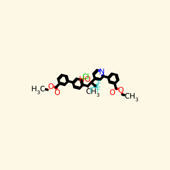 CCOC(=O)c1cccc(-c2ccc([C@@H](C)[C@@](O)(c3ccnc(-c4cccc(C(=O)OCC)c4)c3)C(F)(F)F)c(Cl)c2)c1